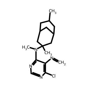 C=Nc1c(Cl)ncnc1N(C)C1(C)CC2CC(C)CC(C2)C1